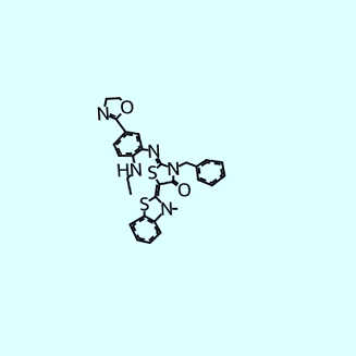 CCNc1ccc(C2=NCCO2)cc1/N=C1\S/C(=C2\Sc3ccccc3N2C)C(=O)N1Cc1ccccc1